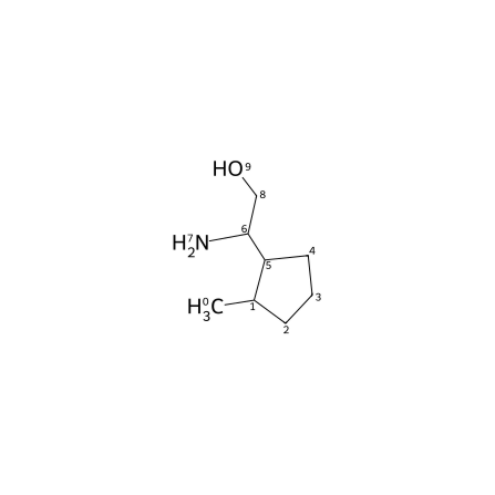 CC1CCCC1C(N)CO